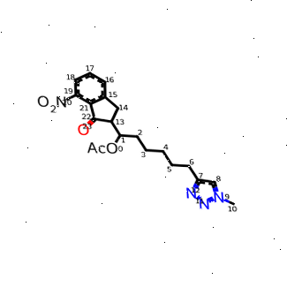 CC(=O)OC(CCCCCc1cn(C)nn1)C1Cc2cccc([N+](=O)[O-])c2C1=O